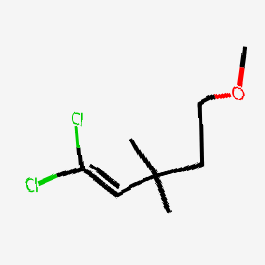 COCCC(C)(C)C=C(Cl)Cl